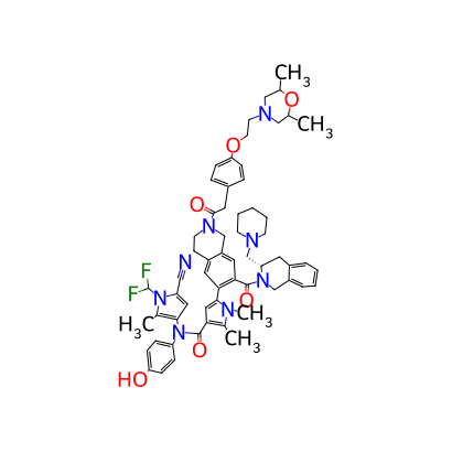 Cc1c(C(=O)N(c2ccc(O)cc2)c2cc(C#N)n(C(F)F)c2C)cc(-c2cc3c(cc2C(=O)N2Cc4ccccc4C[C@H]2CN2CCCCC2)CN(C(=O)Cc2ccc(OCCN4CC(C)OC(C)C4)cc2)CC3)n1C